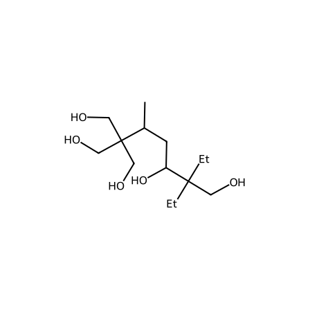 CCC(CC)(CO)C(O)CC(C)C(CO)(CO)CO